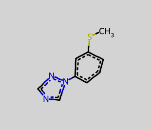 CSc1cccc(-n2cncn2)c1